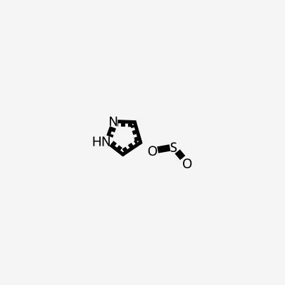 O=S=O.c1cn[nH]c1